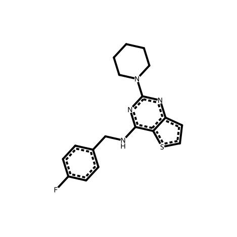 Fc1ccc(CNc2nc(N3CCCCC3)nc3ccsc23)cc1